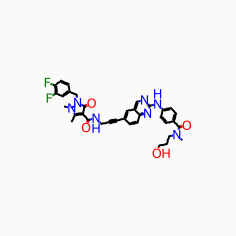 Cc1c(C(=O)NCC#Cc2ccc3nc(Nc4ccc(C(=O)N(C)CCCO)cc4)ncc3c2)c(=O)n(Cc2ccc(F)c(F)c2)n1C